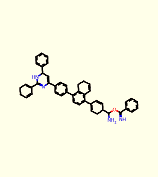 N=C(OC(N)C1C=CC(c2ccc(-c3ccc(C4=CC(c5ccccc5)NC(C5=CCCC=C5)=N4)cc3)c3c2C=CCC3)=CC1)c1ccccc1